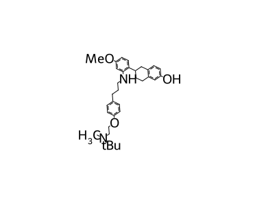 COc1ccc(C2CCc3cc(O)ccc3C2)c(NCCCc2ccc(OCCN(C)C(C)(C)C)cc2)c1